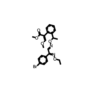 CCON=C(C=NOC(C)c1ccccc1C(=COC)C(=O)OC)c1ccc(Br)cc1